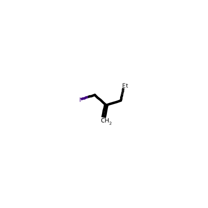 C=C(CI)CCC